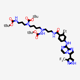 CCc1cc(Nc2nccn3c(-c4c[nH]nc4C(F)(F)F)cnc23)ccc1C(=O)NCCCN(CCCCN(CCCNC(=O)OC(C)(C)C)C(=O)OC(C)(C)C)NC(=O)OC(C)(C)C